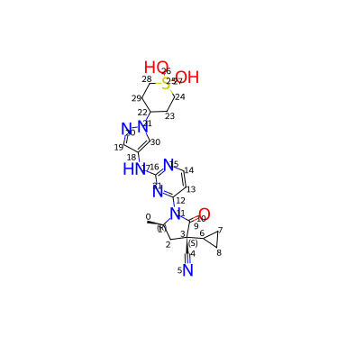 C[C@@H]1C[C@@](C#N)(C2CC2)C(=O)N1c1ccnc(Nc2cnn(C3CCS(O)(O)CC3)c2)n1